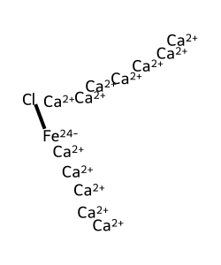 [Ca+2].[Ca+2].[Ca+2].[Ca+2].[Ca+2].[Ca+2].[Ca+2].[Ca+2].[Ca+2].[Ca+2].[Ca+2].[Ca+2].[Cl][Fe-24]